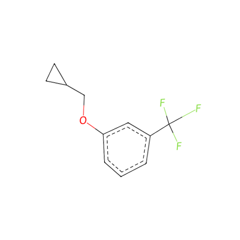 FC(F)(F)c1cccc(OCC2CC2)c1